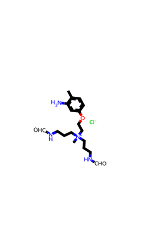 Cc1ccc(OCC[N+](C)(CCCNC=O)CCCNC=O)cc1N.[Cl-]